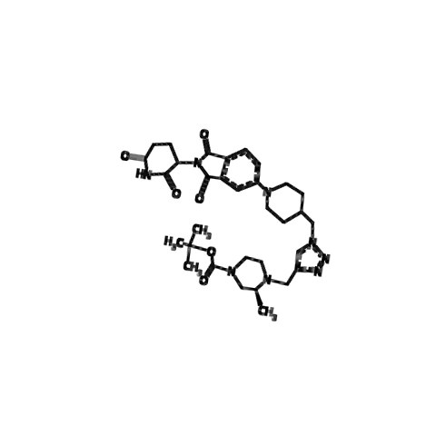 C[C@H]1CN(C(=O)OC(C)(C)C)CCN1Cc1cn(CC2CCN(c3ccc4c(c3)C(=O)N(C3CCC(=O)NC3=O)C4=O)CC2)nn1